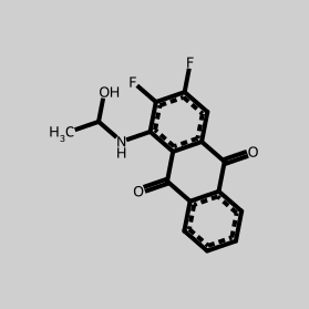 CC(O)Nc1c(F)c(F)cc2c1C(=O)c1ccccc1C2=O